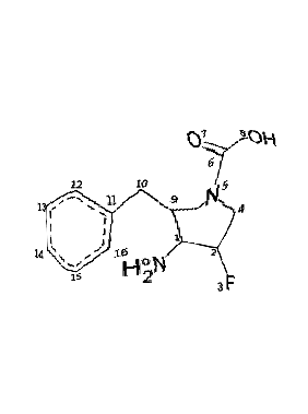 NC1C(F)CN(C(=O)O)C1Cc1ccccc1